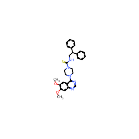 COc1cc2ncnc(N3CCN(C(=S)NCC(c4ccccc4)c4ccccc4)CC3)c2cc1OC